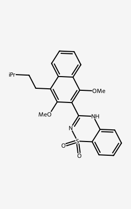 COc1c(C2=NS(=O)(=O)c3ccccc3N2)c(OC)c2ccccc2c1CCC(C)C